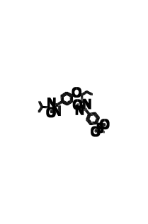 CCC(Oc1ccc(-c2noc(C(C)C)n2)cc1)c1nc(-c2ccc(S(C)(=O)=O)cc2)no1